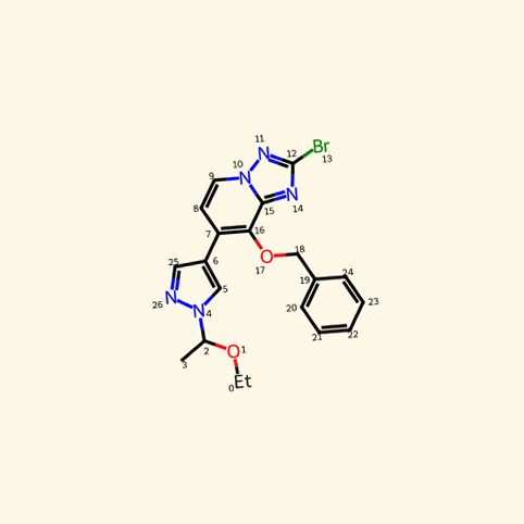 CCOC(C)n1cc(-c2ccn3nc(Br)nc3c2OCc2ccccc2)cn1